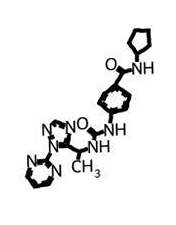 CC(NC(=O)Nc1ccc(C(=O)NC2CCCC2)cc1)c1ncnn1-c1ncccn1